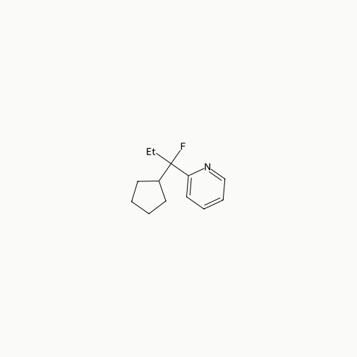 CCC(F)(c1ccccn1)C1CCCC1